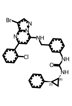 O=C(Nc1cccc(CNc2cc(-c3ccccc3Cl)nc3c(Br)cnn23)c1)N[C@@H]1C[C@H]1c1ccccc1